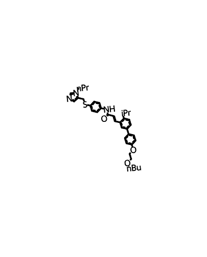 CCCCOCCOc1ccc(-c2ccc(C(C)C)c(/C=C/C(=O)Nc3ccc(SCc4cncn4CCC)cc3)c2)cc1